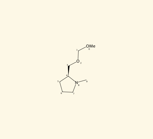 COCOC[C@@H]1CCCN1C